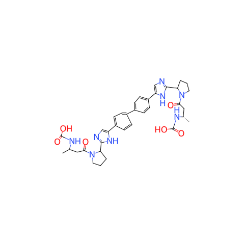 CC(CC(=O)N1CCCC1c1ncc(-c2ccc(-c3ccc(-c4cnc(C5CCCN5C(=O)C[C@H](C)NC(=O)O)[nH]4)cc3)cc2)[nH]1)NC(=O)O